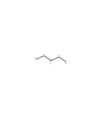 CC[P]CC